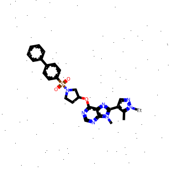 CCn1ncc(-c2nc3c(OC4CCN(S(=O)(=O)c5ccc(-c6ccccc6)cc5)C4)ncnc3n2C)c1C